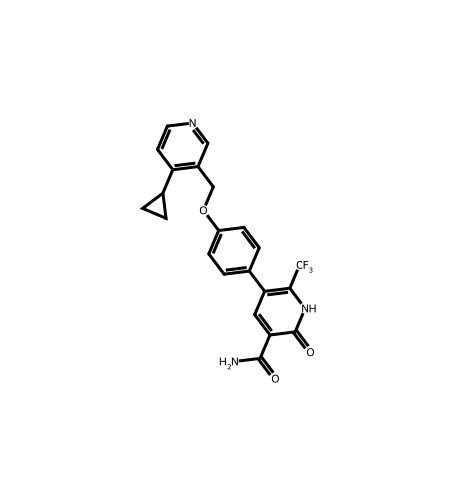 NC(=O)c1cc(-c2ccc(OCc3cnccc3C3CC3)cc2)c(C(F)(F)F)[nH]c1=O